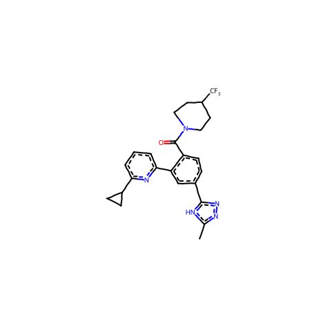 Cc1nnc(-c2ccc(C(=O)N3CCC(C(F)(F)F)CC3)c(-c3cccc(C4CC4)n3)c2)[nH]1